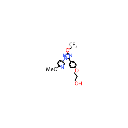 COc1ccc(-n2nc(OCC(F)(F)F)nc2-c2ccc(OCCCO)cc2)cn1